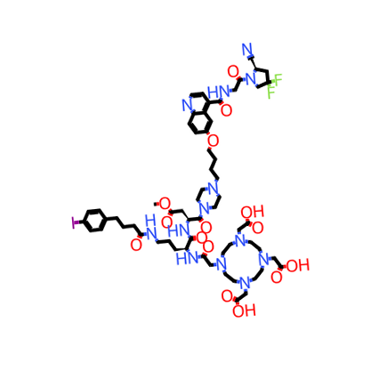 COC(=O)C[C@H](NC(=O)[C@H](CCCNC(=O)CCCc1ccc(I)cc1)NC(=O)CN1CCN(CC(=O)O)CCN(CC(=O)O)CCN(CC(=O)O)CC1)C(=O)N1CCN(CCCCOc2ccc3nccc(C(=O)NCC(=O)N4CC(F)(F)C[C@@H]4C#N)c3c2)CC1